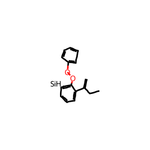 C=C(CC)c1ccccc1OOc1ccccc1.[SiH4]